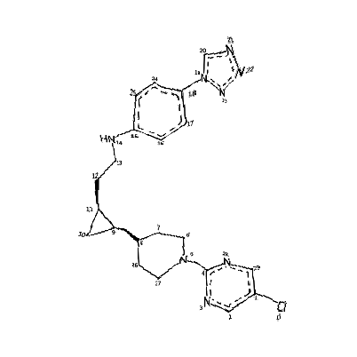 Clc1cnc(N2CCC([C@H]3C[C@H]3CCNc3ccc(-n4cnnn4)cc3)CC2)nc1